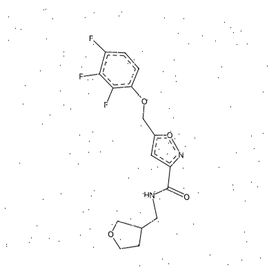 O=C(NCC1CCOC1)c1cc(COc2ccc(F)c(F)c2F)on1